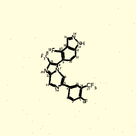 Fc1ccc(-c2cn3c(-c4ccc5[nH]ncc5c4F)c(C(F)(F)F)nc3cn2)cc1C(F)(F)F